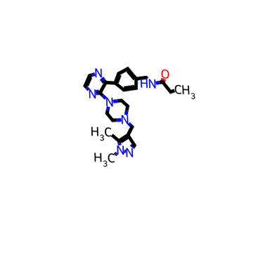 CCC(=O)NCc1ccc(-c2nccnc2N2CCN(Cc3cnn(C)c3C)CC2)cc1